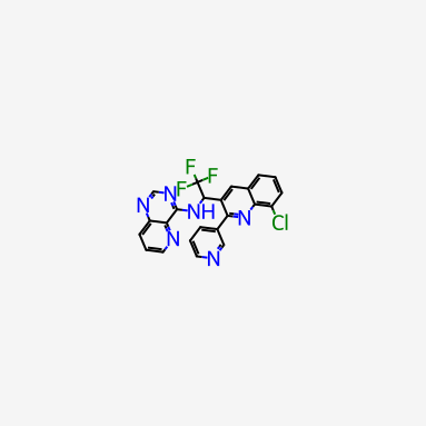 FC(F)(F)C(Nc1ncnc2cccnc12)c1cc2cccc(Cl)c2nc1-c1cccnc1